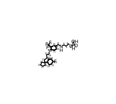 O=[PH](O)OCCCNCc1ccc(SCCCCC2(c3ccc(F)cc3)CCCC2)c(C(F)(F)F)c1